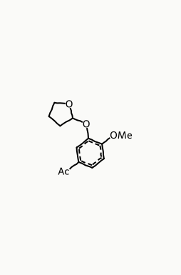 COc1ccc(C(C)=O)cc1OC1CCCO1